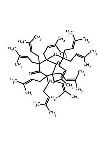 CC(C)=CCCC1(CC=C(C)C)C(=O)C(CC=C(C)C)(CC=C(C)C)C(CC=C(C)C)(OC(CC=C(C)C)(CC=C(C)C)CC=C(C)C)C(=O)C1(CC=C(C)C)CC=C(C)C